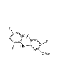 COc1nc(Nc2ccc(F)cc2F)c(C(=O)O)cc1F